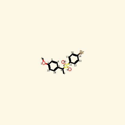 COc1ccc(C(C)S(=O)(=O)c2ccc(Br)cc2)cc1